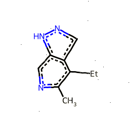 CCc1c(C)ncc2[nH]ncc12